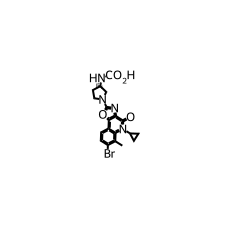 Cc1c(Br)ccc2c3oc(N4CC[C@@H](NC(=O)O)C4)nc3c(=O)n(C3CC3)c12